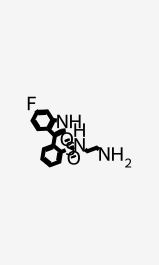 NCCNS(=O)(=O)c1ccccc1-c1c[nH]c2cc(F)ccc12